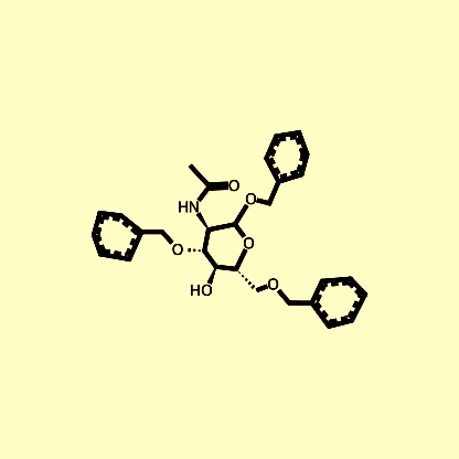 CC(=O)N[C@H]1C(OCc2ccccc2)O[C@H](COCc2ccccc2)[C@@H](O)[C@@H]1OCc1ccccc1